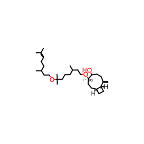 C=C1CCC(O)[C@](C)(OCCC(C)CCCC(C)(C)OCCC(C)CCC=C(C)C)CC[C@@H]2CC[C@@H]12